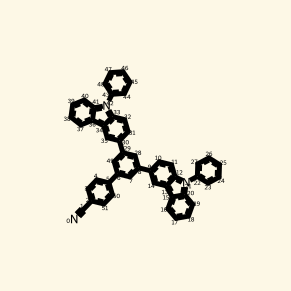 N#Cc1ccc(-c2cc(-c3ccc4c(c3)c3ccccc3n4-c3ccccc3)cc(-c3ccc4c(c3)c3ccccc3n4-c3ccccc3)c2)cc1